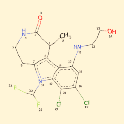 CC1C(=O)NCCc2c1c1c(NCCO)cc(Cl)c(Cl)c1n2C(F)F